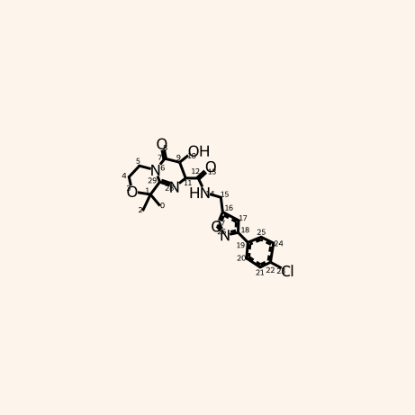 CC1(C)OCCN2C(=O)C(O)C(C(=O)NCc3cc(-c4ccc(Cl)cc4)no3)N=C21